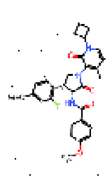 COc1ccc([C@@H]2CN(c3c(C)ccn(C4CCC4)c3=O)C(=O)C2NC(=O)c2ccc(OC(F)(F)F)cc2)c(F)c1